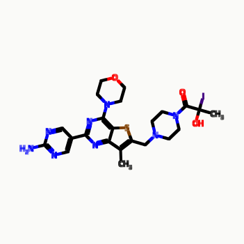 Cc1c(CN2CCN(C(=O)C(C)(O)I)CC2)sc2c(N3CCOCC3)nc(-c3cnc(N)nc3)nc12